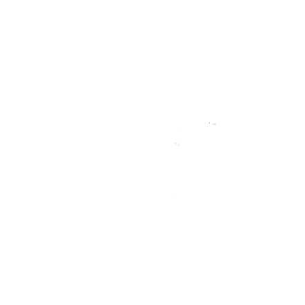 COC(=O)N1CCC(C(=O)O)CC1Cc1cc(F)ccc1F